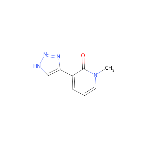 Cn1cccc(-c2c[nH]nn2)c1=O